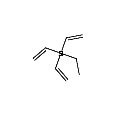 C=C[Si](C=C)(C=C)CC